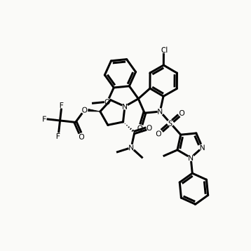 COc1ccccc1C1(N2C[C@H](OC(=O)C(F)(F)F)C[C@H]2C(=O)N(C)C)C(=O)N(S(=O)(=O)c2cnn(-c3ccccc3)c2C)c2ccc(Cl)cc21